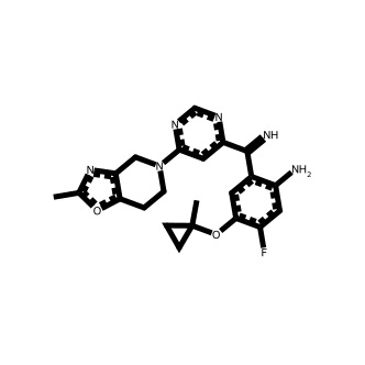 Cc1nc2c(o1)CCN(c1cc(C(=N)c3cc(OC4(C)CC4)c(F)cc3N)ncn1)C2